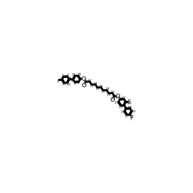 Cc1ccc(-c2ccc(OC(=O)CCCCCCCCCC(=O)Oc3ccc(-c4ccc(F)cc4)c(F)c3)cc2)cc1